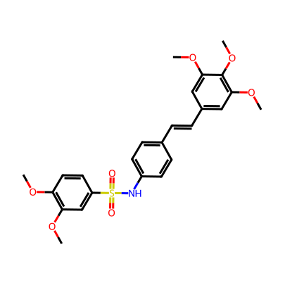 COc1ccc(S(=O)(=O)Nc2ccc(C=Cc3cc(OC)c(OC)c(OC)c3)cc2)cc1OC